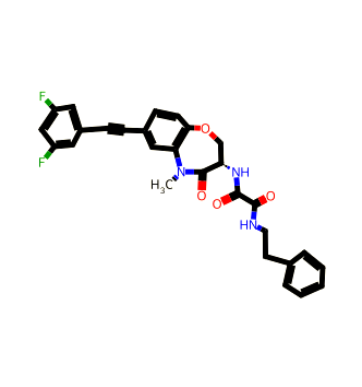 CN1C(=O)[C@@H](NC(=O)C(=O)NCCc2ccccc2)COc2ccc(C#Cc3cc(F)cc(F)c3)cc21